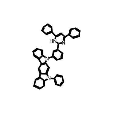 C1=C(c2ccccc2)NC(c2cccc(-n3c4ccccc4c4cc5c6ccccc6n(-c6ccccc6)c5cc43)c2)N=C1c1ccccc1